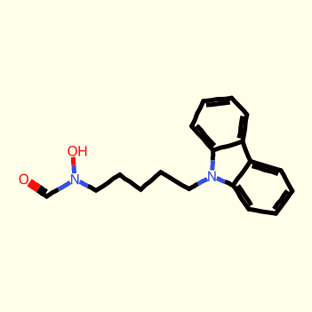 O=CN(O)CCCCCn1c2ccccc2c2ccccc21